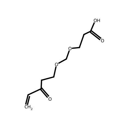 C=CC(=O)CCOCOCCC(=O)O